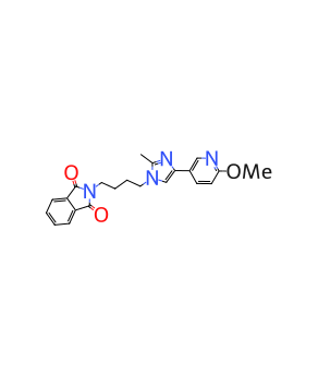 COc1ccc(-c2cn(CCCCN3C(=O)c4ccccc4C3=O)c(C)n2)cn1